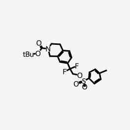 Cc1ccc(S(=O)(=O)OCC(F)(F)c2ccc3c(c2)CN(C(=O)OC(C)(C)C)CC3)cc1